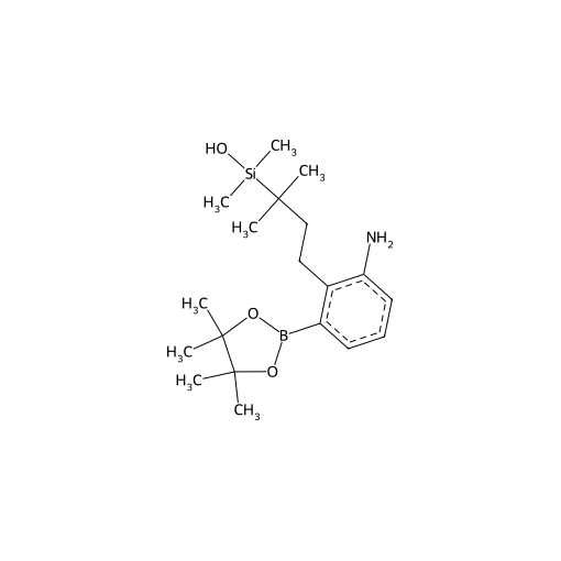 CC1(C)OB(c2cccc(N)c2CCC(C)(C)[Si](C)(C)O)OC1(C)C